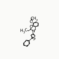 CCC(=O)N(Cc1cccc(OC)c1)c1csc(-c2ccccc2)c1